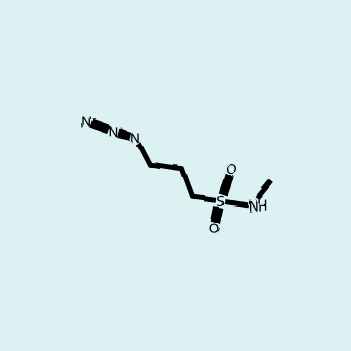 CNS(=O)(=O)CCCN=[N+]=[N-]